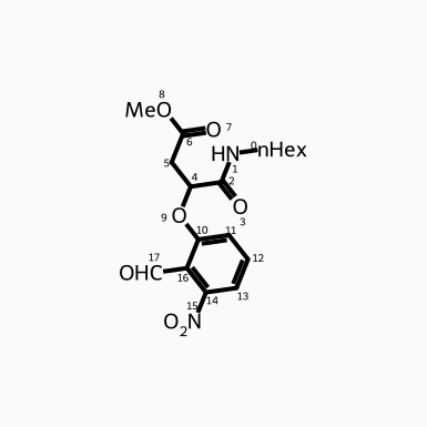 CCCCCCNC(=O)C(CC(=O)OC)Oc1cccc([N+](=O)[O-])c1C=O